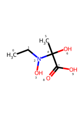 CCN(O)C(C)(O)C(=O)O